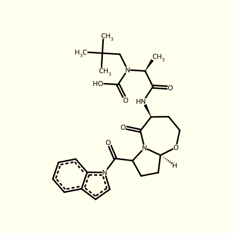 C[C@@H](C(=O)N[C@H]1CCO[C@H]2CCC(C(=O)n3ccc4ccccc43)N2C1=O)N(CC(C)(C)C)C(=O)O